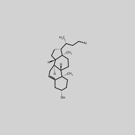 CC(=O)CC[C@@H](C)[C@H]1CC[C@H]2[C@@H]3CC=C4C[C@@H](O)CC[C@]4(C)[C@H]3CC[C@]12C